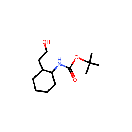 CC(C)(C)OC(=O)NC1CCCCC1CCO